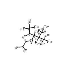 FC(F)COC(F)(C(F)C(F)(F)F)C(F)(C(F)(F)F)C(F)(F)F